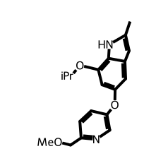 COCc1ccc(Oc2cc(OC(C)C)c3[nH]c(C)cc3c2)cn1